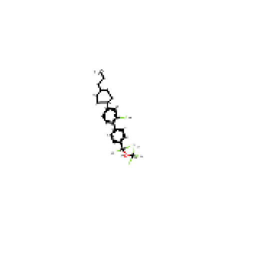 CCCC1CCC(c2ccc(-c3ccc(C(F)(F)OC(F)(F)F)cc3)c(F)c2)CC1